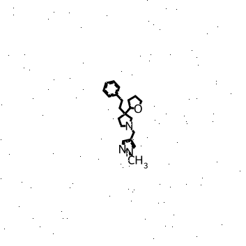 Cn1cc(CN2CCC(CCc3ccccc3)(C3CCCO3)C2)cn1